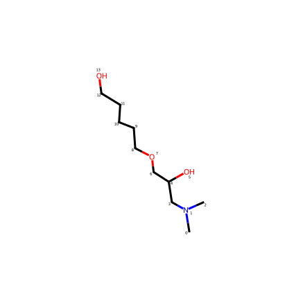 CN(C)CC(O)COCCCCCO